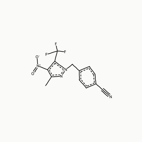 Cc1nn(Cc2ccc(C#N)cc2)c(C(F)(F)F)c1[N+](=O)[O-]